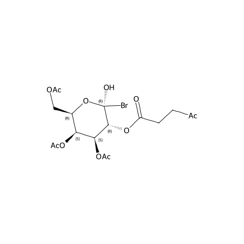 CC(=O)CCC(=O)O[C@@H]1[C@@H](OC(C)=O)[C@@H](OC(C)=O)[C@@H](COC(C)=O)O[C@@]1(O)Br